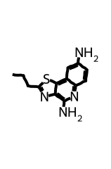 CCCc1nc2c(N)nc3ccc(N)cc3c2s1